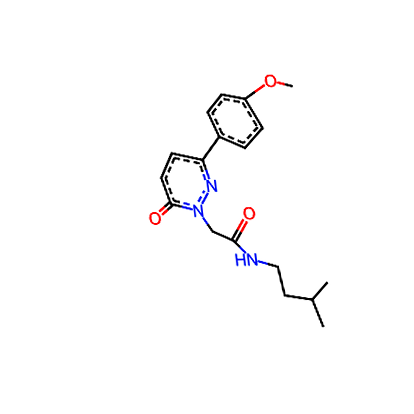 COc1ccc(-c2ccc(=O)n(CC(=O)NCCC(C)C)n2)cc1